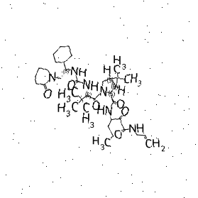 C=CCNC(=O)C(=O)C(CCC)NC(=O)[C@@H]1[C@@H]2[C@H](CN1C(=O)[C@@H](NC(=O)N[C@H](CN1CCCCC1=O)C1CCCCC1)C(C)(C)C)C2(C)C